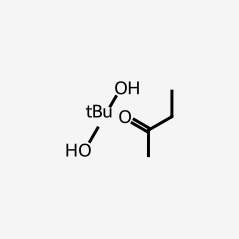 CC(C)(C)O.CCC(C)=O.CO